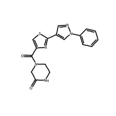 O=C1CN(C(=O)c2csc(-c3cnn(-c4ccccc4)c3)n2)CCN1